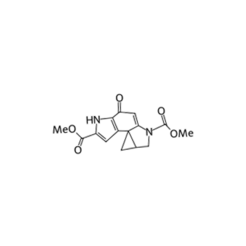 COC(=O)c1cc2c([nH]1)C(=O)C=C1N(C(=O)OC)CC3CC123